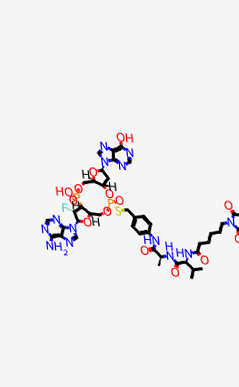 CC(C)[C@H](NC(=O)CCCCCN1C(=O)C=CC1=O)C(=O)N[C@@H](C)C(=O)Nc1ccc(CSP2(=O)OC[C@H]3O[C@@H](n4cnc5c(N)ncnc54)[C@H](F)[C@@H]3P(=O)(O)OC[C@H]3O[C@@H](n4cnc5c(O)ncnc54)C[C@@H]3O2)cc1